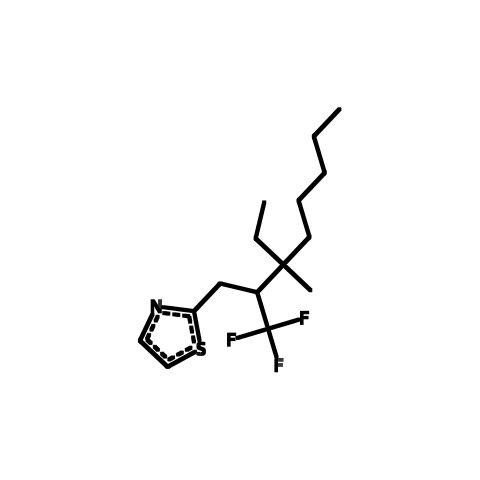 CCCCCC(C)(CC)C(Cc1nccs1)C(F)(F)F